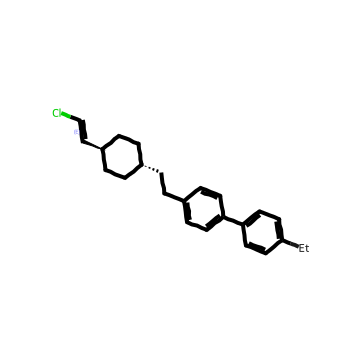 CCc1ccc(-c2ccc(CC[C@H]3CC[C@H](/C=C/Cl)CC3)cc2)cc1